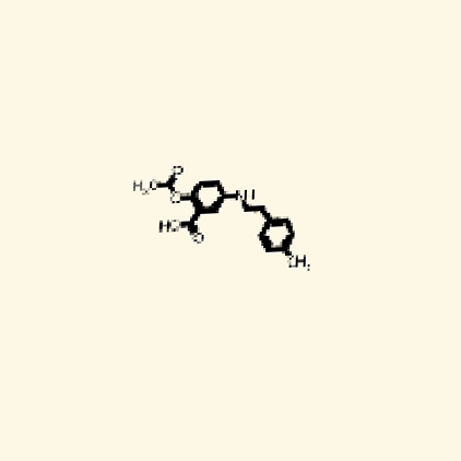 CC(=O)Oc1ccc(NCCc2ccc(C)cc2)cc1C(=O)O